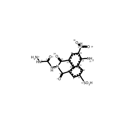 NNC(=O)NN1C(=O)c2cc(S(=O)(=O)O)cc3c(N)c([SH](=O)=O)cc(c23)C1=O